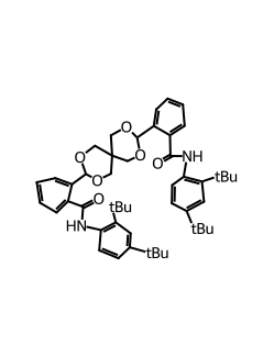 CC(C)(C)c1ccc(NC(=O)c2ccccc2C2OCC3(CO2)COC(c2ccccc2C(=O)Nc2ccc(C(C)(C)C)cc2C(C)(C)C)OC3)c(C(C)(C)C)c1